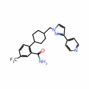 NC(=O)c1cc(C(F)(F)F)ccc1C1CCC(Cn2ccc(-c3ccncc3)n2)CC1